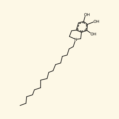 CCCCCCCCCCCCCCCCN1CCc2cc(O)c(O)c(O)c2C1